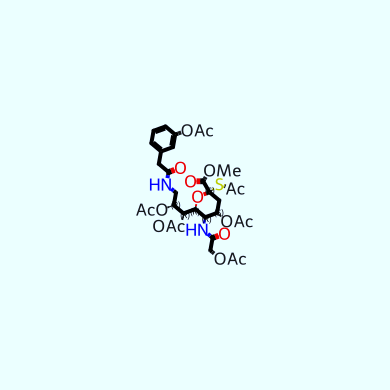 COC(=O)[C@@]1(SC(C)=O)C[C@H](OC(C)=O)[C@@H](NC(=O)COC(C)=O)[C@H]([C@H](OC(C)=O)[C@@H](CNC(=O)Cc2cccc(OC(C)=O)c2)OC(C)=O)O1